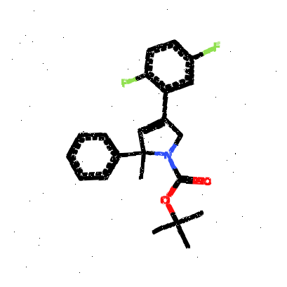 CC(C)(C)OC(=O)N1CC(c2cc(F)ccc2F)=CC1(C)c1ccccc1